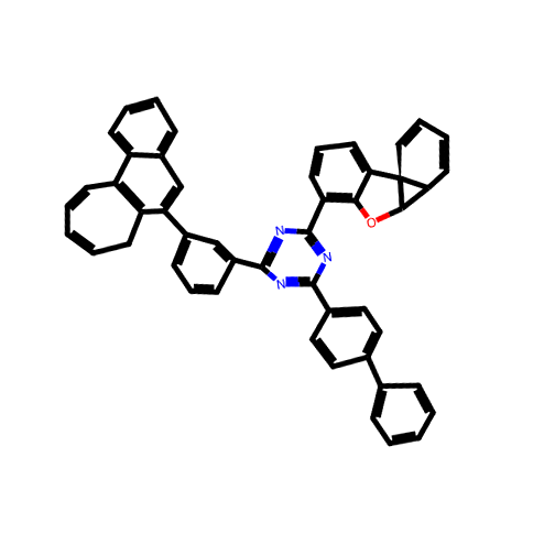 C1=CCc2c(-c3cccc(-c4nc(-c5ccc(-c6ccccc6)cc5)nc(-c5cccc6c5OC5C7C=CC=C[C@@]675)n4)c3)cc3ccccc3c2C=C1